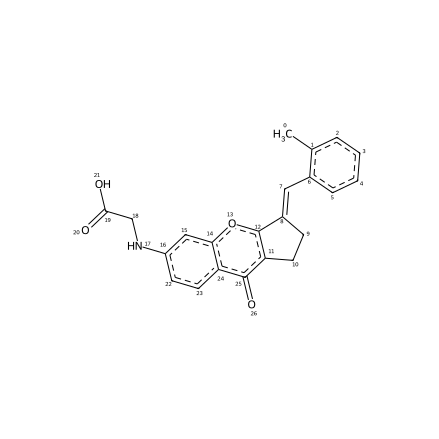 Cc1ccccc1/C=C1\CCc2c1oc1cc(NCC(=O)O)ccc1c2=O